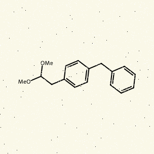 COC(Cc1ccc(Cc2ccccc2)cc1)OC